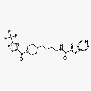 O=C(NCCCCC1CCN(C(=O)c2csc(C(F)(F)F)n2)CC1)c1cc2ccncc2s1